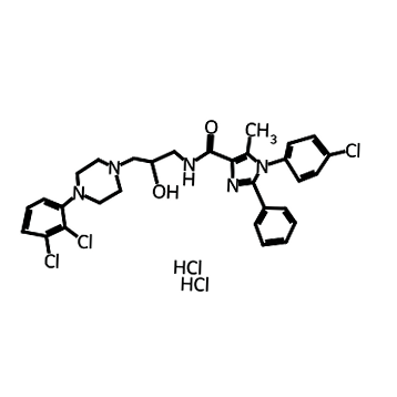 Cc1c(C(=O)NCC(O)CN2CCN(c3cccc(Cl)c3Cl)CC2)nc(-c2ccccc2)n1-c1ccc(Cl)cc1.Cl.Cl